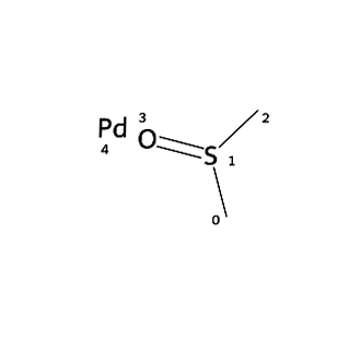 CS(C)=O.[Pd]